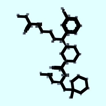 CNC[C@H](CC1(C)CCCCC1)NC(=O)N1CCC[C@@H](C(OCCNC(=O)OC)c2cccc(F)c2)C1